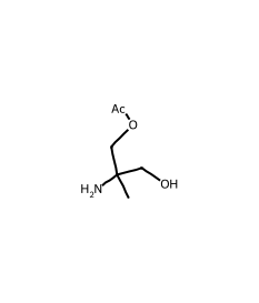 CC(=O)OCC(C)(N)CO